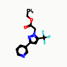 CCOC(=O)Cn1nc(-c2cccnc2)cc1C(F)(F)F